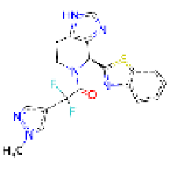 Cn1cc(C(F)(F)C(=O)N2CCc3[nH]cnc3[C@H]2c2nc3ccccc3s2)cn1